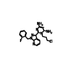 NC1=[C]C(N)N(CCCCl)C(c2nn(Cc3ccccc3F)c3ncccc23)=N1